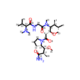 CC[C@H](C)[C@@H]([C@@H](CC(=O)N1CCC[C@H]1[C@H](OC)[C@@H](C)C(N)=O)OC)N(C)C(=O)CNC(=O)C(C(C)C)N(C)C